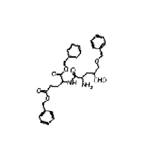 NC(CC(C=O)COCc1ccccc1)C(=O)NC(CCC(=O)OCc1ccccc1)C(=O)OCc1ccccc1